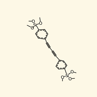 CO[Si](OC)(OC)c1ccc(C#CC#Cc2ccc([Si](OC)(OC)OC)cc2)cc1